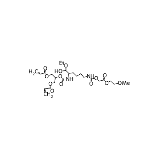 C=CC(=O)OCC(COC(=O)C=C)OC(=O)NC(CCCCNC(=O)OCC(=O)OCCOC)C(O)OCC